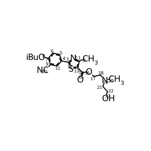 Cc1nc(-c2ccc(OCC(C)C)c(C#N)c2)sc1C(=O)OCCN(C)CCO